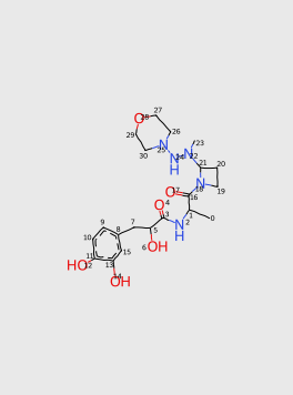 CC(NC(=O)C(O)Cc1ccc(O)c(O)c1)C(=O)N1CCC1N(C)NN1CCOCC1